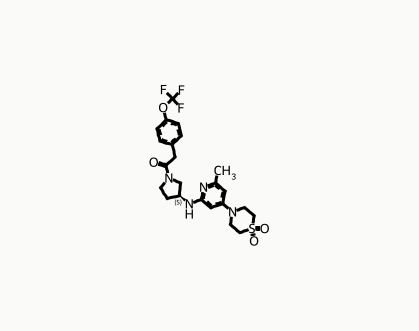 Cc1cc(N2CCS(=O)(=O)CC2)cc(N[C@H]2CCN(C(=O)Cc3ccc(OC(F)(F)F)cc3)C2)n1